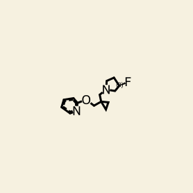 F[C@@H]1CCN(CC2(COc3ccccn3)CC2)C1